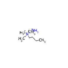 CCCC[N+](C)(C)C.N